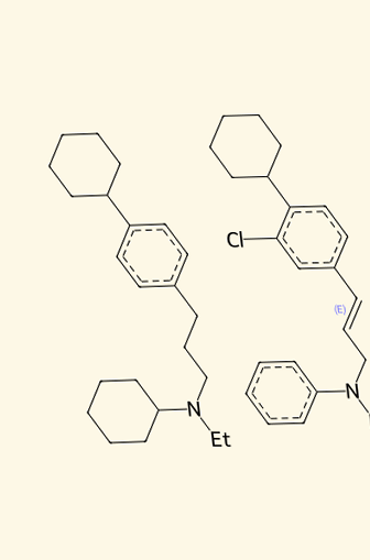 CCN(C/C=C/c1ccc(C2CCCCC2)c(Cl)c1)c1ccccc1.CCN(CCCc1ccc(C2CCCCC2)cc1)C1CCCCC1